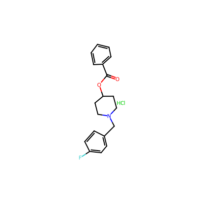 Cl.O=C(OC1CCN(Cc2ccc(F)cc2)CC1)c1ccccc1